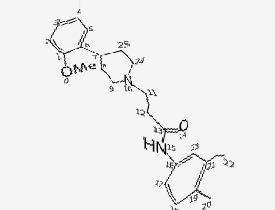 COc1ccccc1C1CCN(CCC(=O)Nc2ccc(C)c(C)c2)CC1